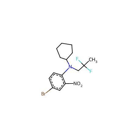 CC(F)(F)CN(c1ccc(Br)cc1[N+](=O)[O-])C1CCCCC1